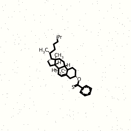 CC(C)CCC[C@@H](C)[C@H]1CC[C@H]2[C@@H]3CC=C4C[C@@H](OC(=S)c5ccccc5)CC[C@]4(C)[C@H]3CC[C@]12C